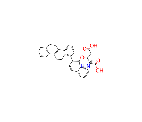 N[C@H](C(=O)O)C(CC(=O)O)Oc1c(-c2cccc3c4c(ccc23)C2=C(CCC=C2)CC4)ccc2ccccc12